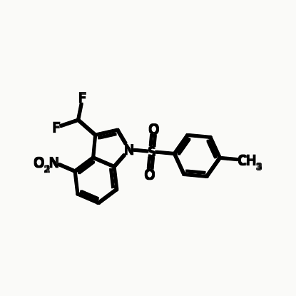 Cc1ccc(S(=O)(=O)n2cc(C(F)F)c3c([N+](=O)[O-])cccc32)cc1